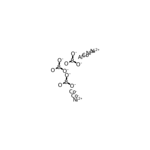 [Al+3].[Co].[Co].[Co].[Ni+2].[Ni+2].[Ni+2].[O-]B([O-])[O-].[O-]B([O-])[O-].[O-]B([O-])[O-]